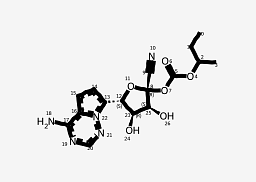 CCC(C)OC(=O)O[C@@]1(C#N)O[C@@H](c2ccc3c(N)ncnn23)[C@H](O)[C@@H]1O